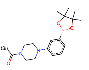 CC(C)(C)C(=O)N1CCN(c2cccc(B3OC(C)(C)C(C)(C)O3)c2)CC1